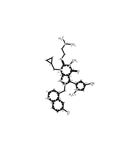 CN(C)CCN=c1n(C)c(=O)c2c(-c3cc(C#N)cn3C)n(Cc3ccnc4ccc(Cl)cc34)nc2n1CC1CC1